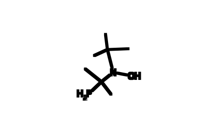 CC(C)(C)N(O)C(C)(C)P